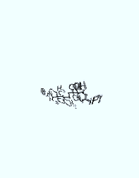 CC(C)C1CCC(O)(C(C)(C)CCC(C)(C)C2(C)CCCN(C(C)(C)C)C2)CC1